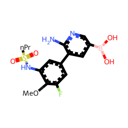 CCCS(=O)(=O)Nc1cc(-c2cc(B(O)O)cnc2N)cc(F)c1OC